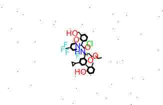 CCOC(=O)C[C@H](NC(=O)C(c1cc(CO)ccc1Cl)n1ccc(C(F)(F)F)cc1=O)c1cc(-c2c(C)cccc2O)cc(C2CC2)c1F